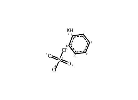 O=S(=O)(Cl)Cl.[KH].c1ccccc1